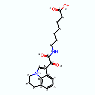 O=C(O)CCCCCCNC(=O)C(=O)c1cn2c3c(cccc13)CCC2